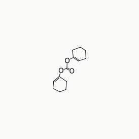 O=C(OC1=CCCCC1)OC1=CCCCC1